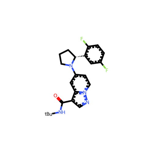 CC(C)(C)NC(=O)c1cnn2ccc(N3CCC[C@@H]3c3cc(F)ccc3F)cc12